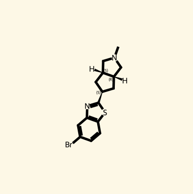 CN1C[C@H]2C[C@H](c3nc4cc(Br)ccc4s3)C[C@H]2C1